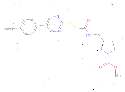 COc1ccc(-c2cnc(SCC(=O)NCC3CCN(C(=O)OC(C)(C)C)C3)nc2)cc1